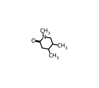 CC1CC(=O)N(C)CC1C